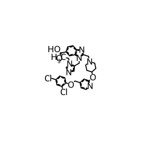 CCn1cncc1Cn1c(CN2CCC(Oc3cc(COc4ccc(Cl)cc4Cl)ccn3)CC2)nc2ccc(C(=O)O)cc21